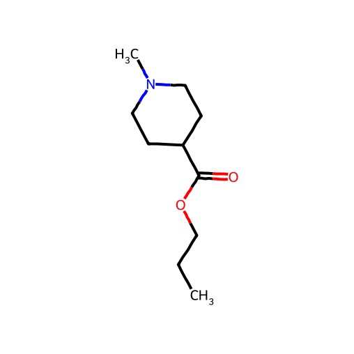 CCCOC(=O)C1CCN(C)CC1